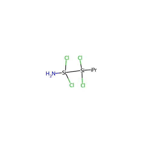 CC(C)[Si](Cl)(Cl)[Si](N)(Cl)Cl